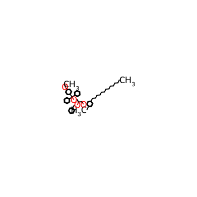 CCCCCCCCCCCCCCc1ccc(CC)c(OCC(COC(c2ccccc2)(c2ccccc2)c2ccc(OC)cc2)OCc2ccccc2)c1